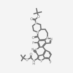 CC(C)(C)OC(=O)Nc1sc2c(F)ccc(-c3c(F)c(F)c4c5c3cnn5CCC3CN(C(=O)OC(C)(C)C)CCN3C4=O)c2c1C#N